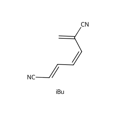 C=C(C#N)/C=C\C=C(\C#N)[C@H](C)CC